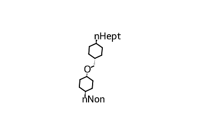 CCCCCCCCC[C@H]1CC[C@H](OC[C@H]2CC[C@H](CCCCCCC)CC2)CC1